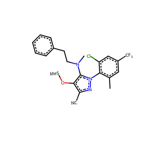 CSOc1c(C#N)nn(-c2c(C)cc(C(F)(F)F)cc2Cl)c1N(C)CCc1ccccc1